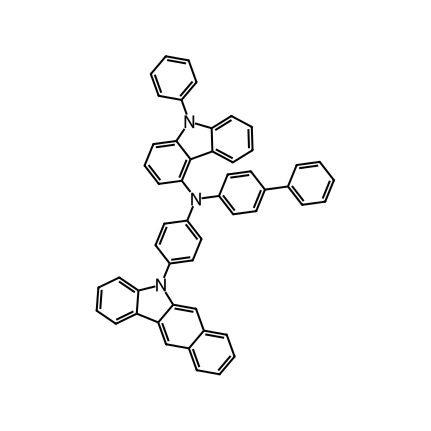 c1ccc(-c2ccc(N(c3ccc(-n4c5ccccc5c5cc6ccccc6cc54)cc3)c3cccc4c3c3ccccc3n4-c3ccccc3)cc2)cc1